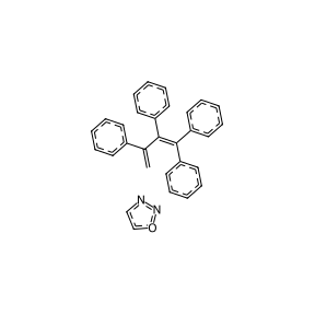 C=C(C(=C(c1ccccc1)c1ccccc1)c1ccccc1)c1ccccc1.c1conn1